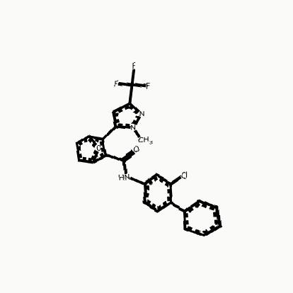 Cn1nc(C(F)(F)F)cc1-c1c(C(=O)Nc2ccc(-c3ccccc3)c(Cl)c2)c2ccc1o2